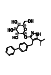 CC(C)c1[nH]nc(O[C@@H]2O[C@H](CO)[C@@H](O)[C@H](O)[C@H]2O)c1Cc1ccc(-c2ccccc2)cc1